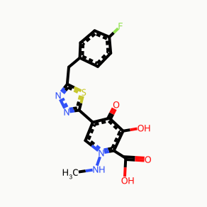 CNn1cc(-c2nnc(Cc3ccc(F)cc3)s2)c(=O)c(O)c1C(=O)O